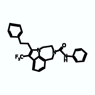 O=C(Nc1ccccc1)N1CCn2c(CCc3ccccc3)c(C(F)(F)F)c3cccc(c32)C1